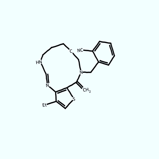 C=C1c2scc(CC)c2/N=C/NCCCCCN1Cc1ccccc1C#N